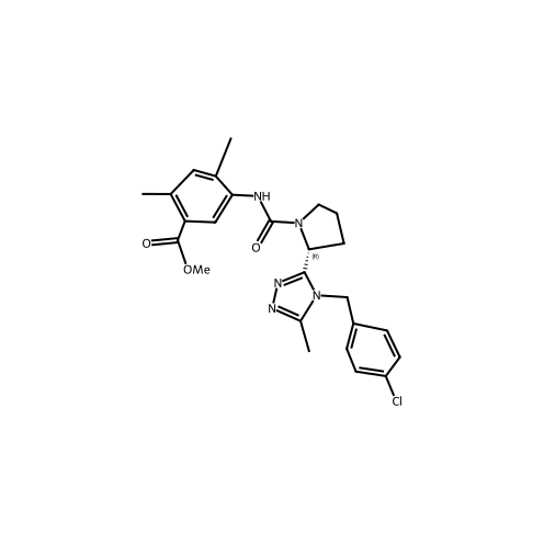 COC(=O)c1cc(NC(=O)N2CCC[C@@H]2c2nnc(C)n2Cc2ccc(Cl)cc2)c(C)cc1C